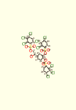 O=C(COS(=O)(=O)c1ccc(Cl)c(Cl)c1Cl)c1ccc(OS(=O)(=O)c2ccc(Cl)c(Cl)c2Cl)c(OS(=O)(=O)c2ccc(Cl)c(Cl)c2Cl)c1